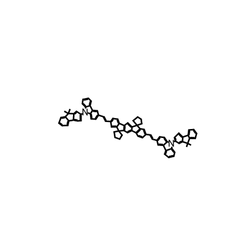 CC1(C)c2ccccc2-c2ccc(-n3c4ccccc4c4cc(/C=C/c5ccc6c(c5)C5(CCCC5)c5cc7c(cc5-6)C5(CCCC5)c5cc(/C=C/c6ccc8c(c6)c6ccccc6n8-c6ccc8c(c6)C(C)(C)c6ccccc6-8)ccc5-7)ccc43)cc21